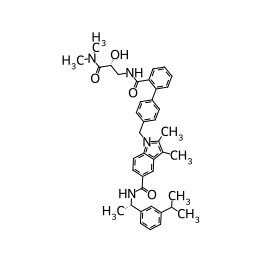 Cc1c(C)n(Cc2ccc(-c3ccccc3C(=O)NC[C@@H](O)C(=O)N(C)C)cc2)c2ccc(C(=O)N[C@@H](C)c3cccc(C(C)C)c3)cc12